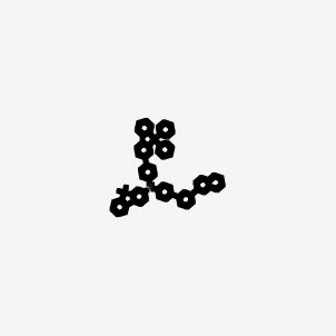 CC1(C)c2ccccc2-c2ccc(N(c3ccc(-c4cccc(-c5ccc6ccccc6c5)c4)cc3)c3ccc(-c4ccc5c(c4)C(c4ccccc4)(c4ccccc4)c4ccccc4-5)cc3)cc21